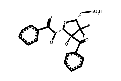 O=C(c1ccccc1)C(O)[C@@H]1O[C@H](CS(=O)(=O)O)C(F)(F)[C@]1(O)C(=O)c1ccccc1